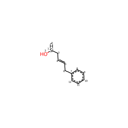 C[SiH](O)CC=CCc1ccccc1